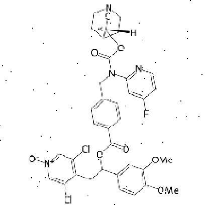 COc1ccc(C(Cc2c(Cl)c[n+]([O-])cc2Cl)OC(=O)c2ccc(CN(C(=O)O[C@H]3CN4CCC3CC4)c3cc(F)ccn3)cc2)cc1OC